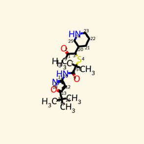 CC(=O)C(SC(C)(C)C(=O)Nc1cc(C(C)(C)C)on1)C1CCCNC1